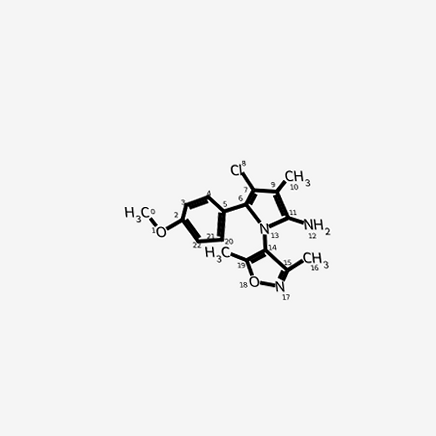 COc1ccc(-c2c(Cl)c(C)c(N)n2-c2c(C)noc2C)cc1